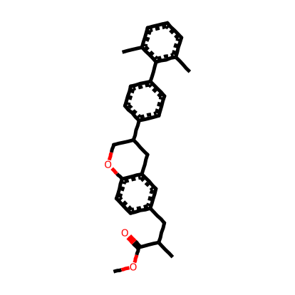 COC(=O)C(C)Cc1ccc2c(c1)CC(c1ccc(-c3c(C)cccc3C)cc1)CO2